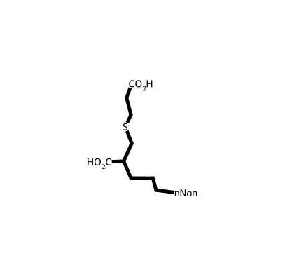 CCCCCCCCCCCCC(CSCCC(=O)O)C(=O)O